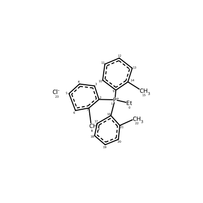 CC[P+](c1ccccc1C)(c1ccccc1C)c1ccccc1C.[Cl-]